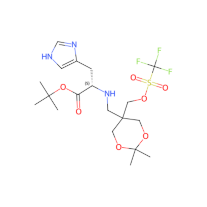 CC(C)(C)OC(=O)[C@H](Cc1c[nH]cn1)NCC1(COS(=O)(=O)C(F)(F)F)COC(C)(C)OC1